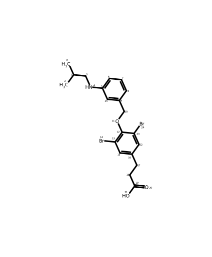 CC(C)CNc1cccc(COc2c(Br)cc(CCC(=O)O)cc2Br)c1